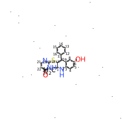 C=C1Nc2ccc(O)cc2C(c2ccccc2)=C1Sc1nccc(=O)[nH]1